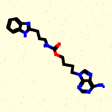 Nc1ncnc2c1ncn2CCCCOC(=O)NCCCc1nc2ccccc2[nH]1